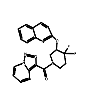 O=C(c1nnn2ccccc12)N1CCC(F)(F)C(Oc2ccc3ccccc3n2)C1